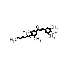 CCCCCCSc1c(C)cc(C(=O)C=Cc2cc(C)c(O)c(C)c2)cc1C